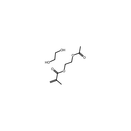 C=C(C)C(=O)OCCOC(C)=O.OCCO